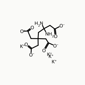 NC(N)(CC(=O)[O-])CC(CC(=O)[O-])(CC(=O)[O-])CC(=O)[O-].[K+].[K+].[K+].[K+]